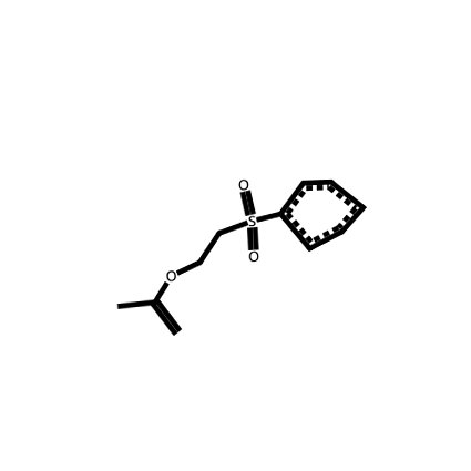 C=C(C)OCCS(=O)(=O)c1ccccc1